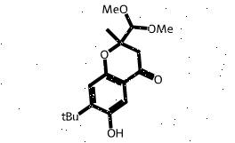 COC(OC)C1(C)CC(=O)c2cc(O)c(C(C)(C)C)cc2O1